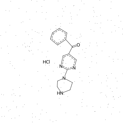 Cl.O=C(c1ccccc1)c1cnc(N2CCNCC2)nc1